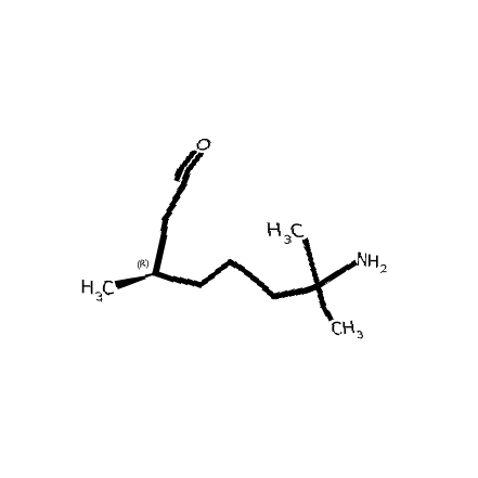 C[C@@H](CC=O)CCCC(C)(C)N